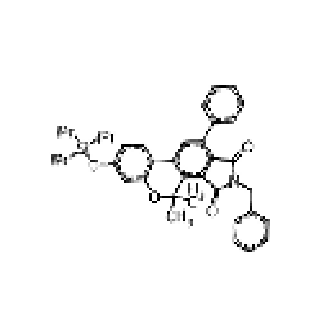 CC(C)[Si](Oc1ccc2c(c1)OC(C)(C)c1c-2cc(-c2ccccc2)c2c1C(=O)N(Cc1ccccc1)C2=O)(C(C)C)C(C)C